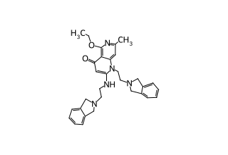 CCOc1nc(C)cc2c1c(=O)cc(NCCN1Cc3ccccc3C1)n2CCN1Cc2ccccc2C1